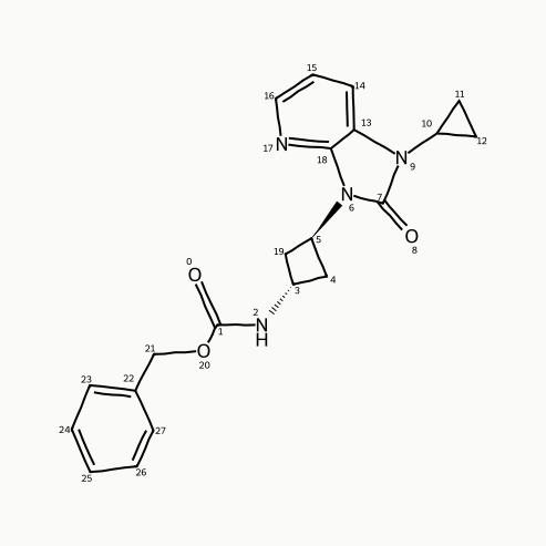 O=C(N[C@H]1C[C@H](n2c(=O)n(C3CC3)c3cccnc32)C1)OCc1ccccc1